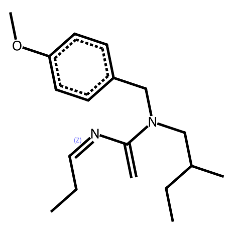 C=C(/N=C\CC)N(Cc1ccc(OC)cc1)CC(C)CC